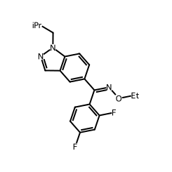 CCO/N=C(/c1ccc2c(cnn2CC(C)C)c1)c1ccc(F)cc1F